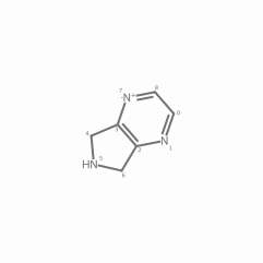 C1=NC2=C(CNC2)[N+]=C1